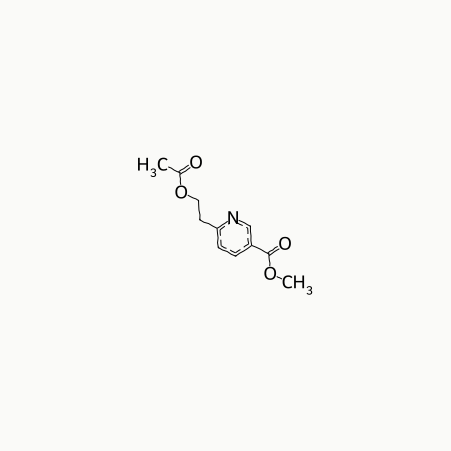 COC(=O)c1ccc(CCOC(C)=O)nc1